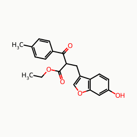 CCOC(=O)C(Cc1coc2cc(O)ccc12)C(=O)c1ccc(C)cc1